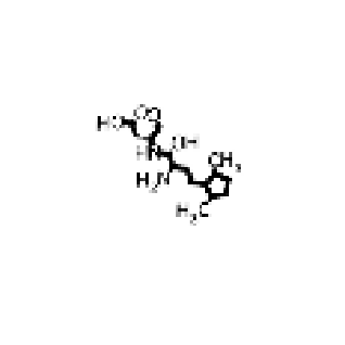 CC1CCC(C)C1CCC(N)C(O)N[C@@H](C=O)CC(=O)O